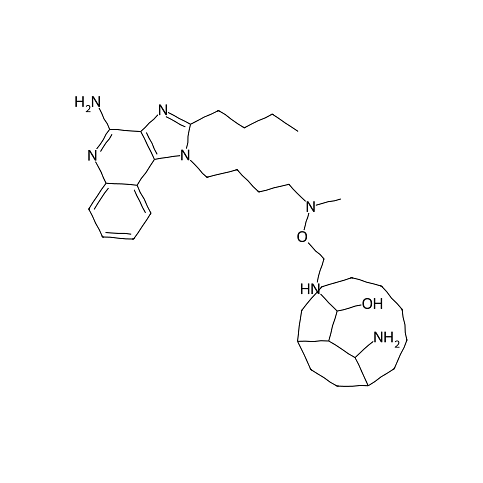 CCCCc1nc2c(N)nc3ccccc3c2n1CCCCN(C)OCNC(O)C1C2CCCCCCCC(CC2)C1N